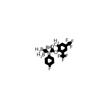 BC(B)(B)N(C(=O)Oc1c(C)cc(C(F)(F)F)cc1C(F)(F)F)c1ccc(F)cc1